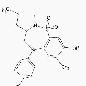 CN1C(CCC(F)(F)F)CN(c2ccc(F)cc2)c2cc(C(F)(F)F)c(O)cc2S1(=O)=O